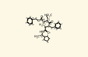 C[C@H](C(=O)N[C@H](C)C1CCCC1)N(Cc1ccccc1)C(=O)[C@H](CC(=O)O)NC(=O)OCc1ccccc1